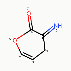 N=C1CC=COC1=O